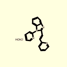 C(=C\c1nc2ccccc2n1-c1ccccn1)/c1ccccn1.Cl.Cl